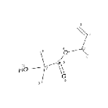 C=CC(C)OS(=O)C(C)(C)O